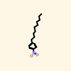 CCCCCCCCCCc1ccc([N+](=O)[O-])cc1